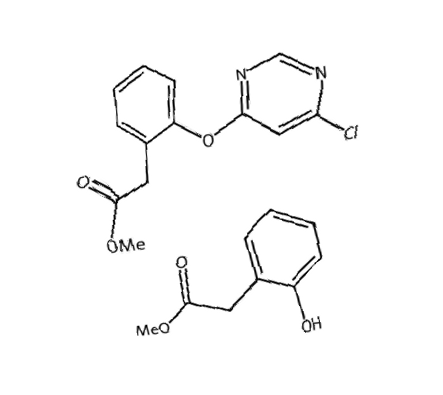 COC(=O)Cc1ccccc1O.COC(=O)Cc1ccccc1Oc1cc(Cl)ncn1